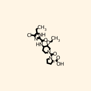 CCOC1CN(C(=O)N2CCC[C@H]2C(=O)O)CCC1NC(=O)c1nc(Cl)c(CC)[nH]1